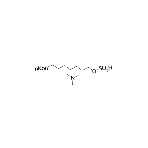 CCCCCCCCCCCCCCCCOS(=O)(=O)O.CN(C)C